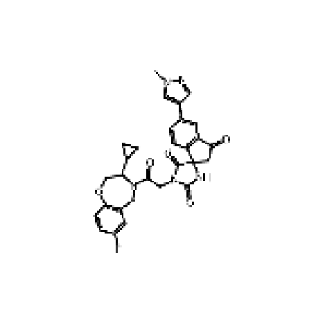 Cn1cc(-c2ccc3c(c2)C(=O)CC32NC(=O)N(CC(=O)N3Cc4cc(F)ccc4OCC3C3CC3)C2=O)cn1